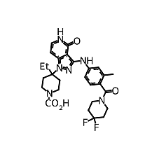 CCC1(n2nc(Nc3ccc(C(=O)N4CCC(F)(F)CC4)c(C)c3)c3c(=O)[nH]ccc32)CCN(C(=O)O)CC1